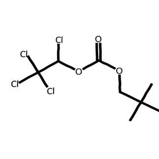 CC(C)(C)COC(=O)OC(Cl)C(Cl)(Cl)Cl